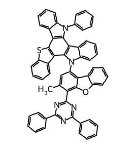 Cc1cc(-n2c3ccccc3c3c4c(c5ccccc5n4-c4ccccc4)c4sc5ccccc5c4c32)c2c(oc3ccccc32)c1-c1nc(-c2ccccc2)nc(-c2ccccc2)n1